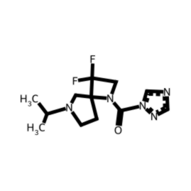 CC(C)N1CCC2(C1)N(C(=O)n1cncn1)CC2(F)F